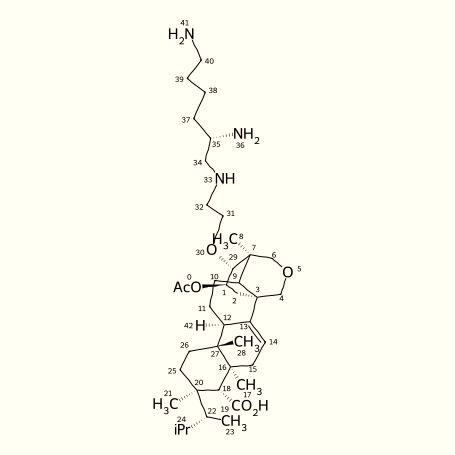 CC(=O)O[C@@H]1C[C@@]23COC[C@@](C)(C2CC[C@H]2C3=CC[C@@]3(C)[C@H](C(=O)O)[C@@](C)([C@H](C)C(C)C)CC[C@]23C)[C@H]1OCCNC[C@@H](N)CCCCN